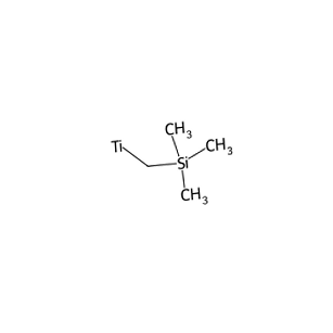 C[Si](C)(C)[CH2][Ti]